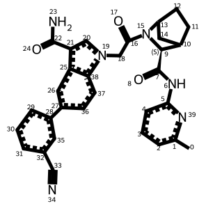 Cc1cccc(NC(=O)[C@@H]2C3CCC(C3)N2C(=O)Cn2cc(C(N)=O)c3cc(-c4cccc(C#N)c4)ccc32)n1